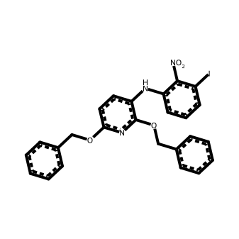 O=[N+]([O-])c1c(I)cccc1Nc1ccc(OCc2ccccc2)nc1OCc1ccccc1